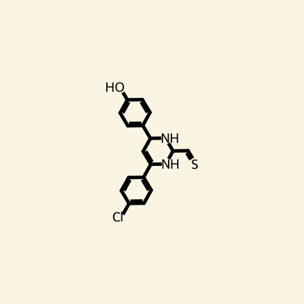 Oc1ccc(C2C=C(c3ccc(Cl)cc3)NC(C=S)N2)cc1